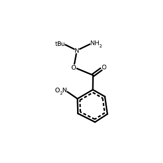 CC(C)(C)N(N)OC(=O)c1ccccc1[N+](=O)[O-]